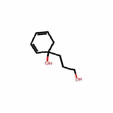 OCCCC1(O)C=CC=CC1